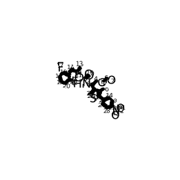 Cc1c(C(COC=O)NC(=O)OC(C)Cc2c(F)cccc2F)csc1-c1ccc([N+](=O)[O-])cc1